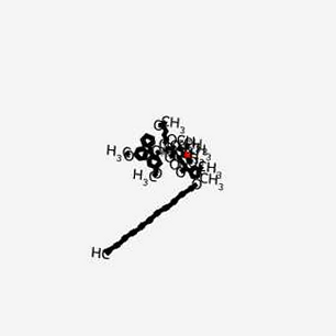 C#CC#CC#CC#CC#CC#CC#CC#CC#CC#CC#COc1cc(C(=O)n2c(=O)ccn([C@@H]3O[C@H](COC(c4ccccc4)(c4ccc(OC)cc4)c4ccc(OC)cc4)[C@H](OC(=O)CCC(C)=O)C3O[Si](C)(C)C(C)(C)C)c2=O)cc(C)c1C